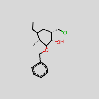 CC[C@H]1C[C@H](CCl)[C@H](O)[C@@H](OCc2ccccc2)[C@@H]1C